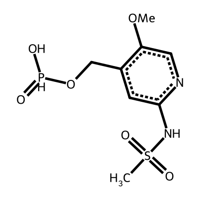 COc1cnc(NS(C)(=O)=O)cc1CO[PH](=O)O